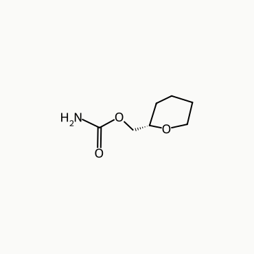 NC(=O)OC[C@@H]1CCCCO1